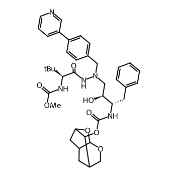 COC(=O)N[C@H](C(=O)NN(Cc1ccc(-c2cccnc2)cc1)C[C@H](O)[C@H](Cc1ccccc1)NC(=O)OC1C2COC3OC1CC3C2)C(C)(C)C